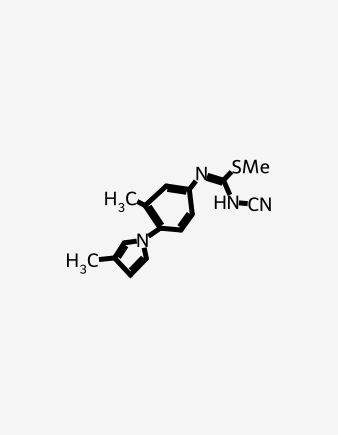 CSC(=Nc1ccc(-n2ccc(C)c2)c(C)c1)NC#N